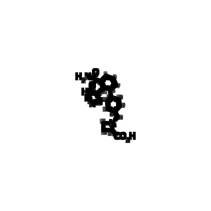 NS(=O)(=O)c1cccc(-c2ccc(CN3CCC3C(=O)O)cc2)c1-c1nnn[nH]1